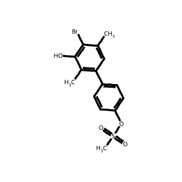 Cc1cc(-c2ccc(OS(C)(=O)=O)cc2)c(C)c(O)c1Br